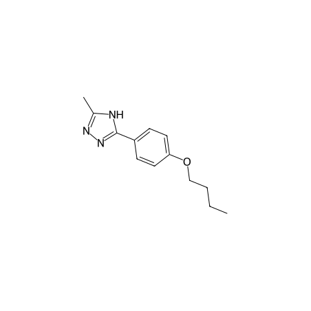 CCCCOc1ccc(-c2nnc(C)[nH]2)cc1